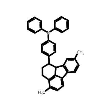 Cc1ccc2c(c1)C1c3c-2ccc(C)c3CCC1c1ccc(N(c2ccccc2)c2ccccc2)cc1